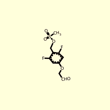 CS(=O)(=O)OCc1c(F)cc(OCC=O)cc1F